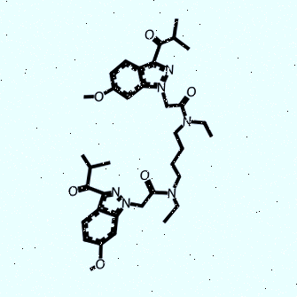 CCN(CCCCN(CC)C(=O)Cn1nc(C(=O)C(C)C)c2ccc(OC)cc21)C(=O)Cn1nc(C(=O)C(C)C)c2ccc(OC)cc21